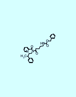 CC(CCN(C(=O)CCCCNC(=O)OCc1ccccc1)C(=O)c1ccccn1)c1ccccc1